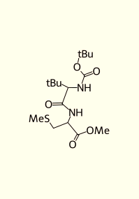 COC(=O)C(CSC)NC(=O)C(NC(=O)OC(C)(C)C)C(C)(C)C